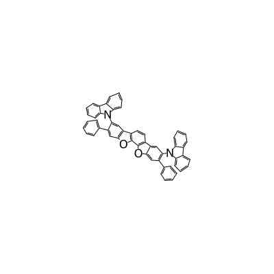 c1ccc(-c2cc3oc4c(ccc5c6cc(-n7c8ccccc8c8ccccc87)c(-c7ccccc7)cc6oc54)c3cc2-n2c3ccccc3c3ccccc32)cc1